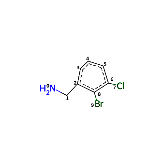 NCc1cccc(Cl)c1Br